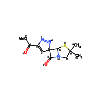 COC(=O)C1=CC2(N=N1)C(=O)N1CC(C)(C)SC12